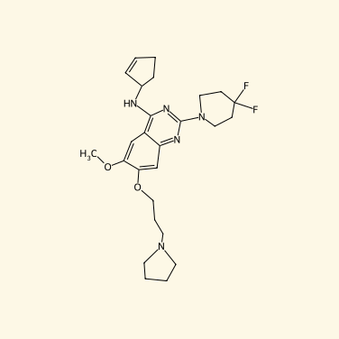 COc1cc2c(NC3C=CCC3)nc(N3CCC(F)(F)CC3)nc2cc1OCCCN1CCCC1